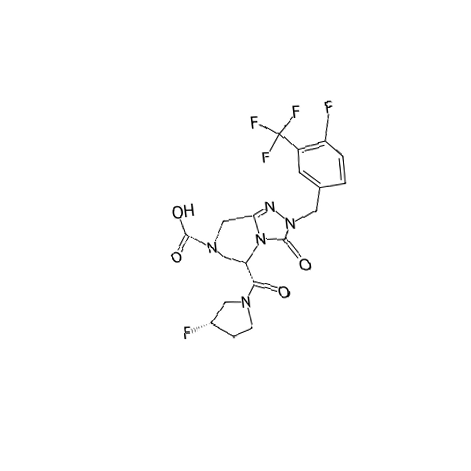 O=C(O)N1Cc2nn(Cc3ccc(F)c(C(F)(F)F)c3)c(=O)n2C(C(=O)N2CC[C@H](F)C2)C1